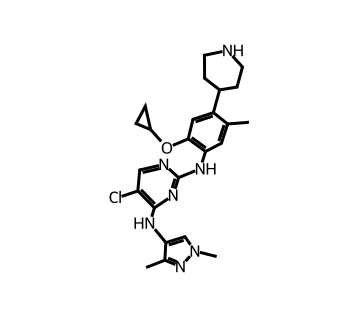 Cc1cc(Nc2ncc(Cl)c(Nc3cn(C)nc3C)n2)c(OC2CC2)cc1C1CCNCC1